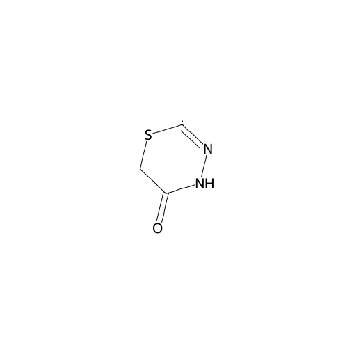 O=C1CS[C]=NN1